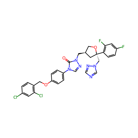 O=c1n(-c2ccc(OCc3ccc(Cl)cc3Cl)cc2)cnn1C[C@H]1CO[C@@](Cn2cncn2)(c2ccc(F)cc2F)C1